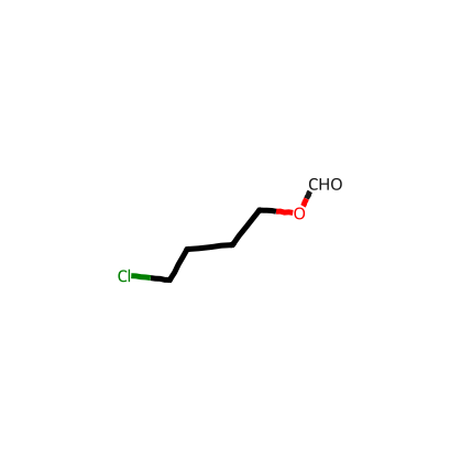 O=COCCCCCl